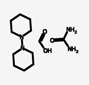 C1CCN(N2CCCCC2)CC1.NC(N)=O.O=CO